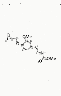 COC(=O)NC=Cc1ccc(OCC2CO2)c(OC)c1